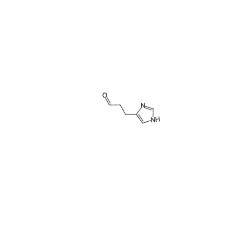 O=CCCc1c[nH]cn1